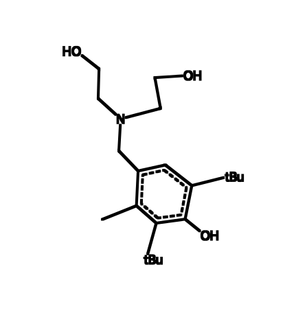 Cc1c(CN(CCO)CCO)cc(C(C)(C)C)c(O)c1C(C)(C)C